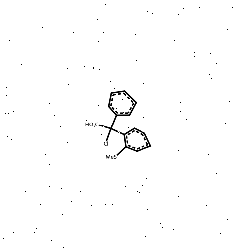 CSc1ccccc1C(Cl)(C(=O)O)c1ccccc1